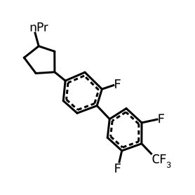 CCCC1CCC(c2ccc(-c3cc(F)c(C(F)(F)F)c(F)c3)c(F)c2)C1